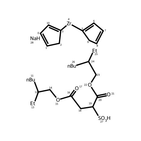 C1=CC[C]([Zr][C]2=CC=CC2)=C1.CCCCC(CC)COC(=O)CC(C(=O)OCC(CC)CCCC)S(=O)(=O)O.[NaH]